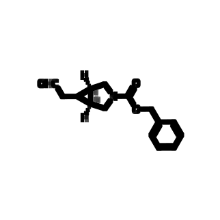 O=CCC1[C@H]2CN(C(=O)OCc3ccccc3)C[C@@H]12